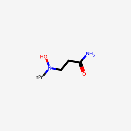 CCCN(O)CCC(N)=O